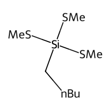 CCCCC[Si](SC)(SC)SC